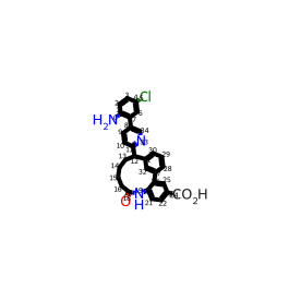 Nc1ccc(Cl)cc1-c1ccc(C2CCCCC(=O)Nc3ccc(C(=O)O)cc3-c3cccc2c3)nc1